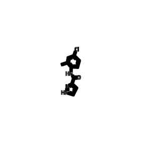 Cc1cc(Cl)ccc1NC(=O)c1cc[nH]n1